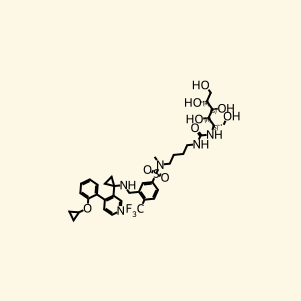 CN(CCCCNC(=O)N[C@@H](CO)[C@@H](O)[C@H](O)[C@H](O)CO)S(=O)(=O)c1ccc(C(F)(F)F)c(CNC2(c3cnccc3-c3ccccc3OC3CC3)CC2)c1